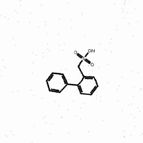 O=S(=O)(O)Cc1ccccc1-c1ccccc1